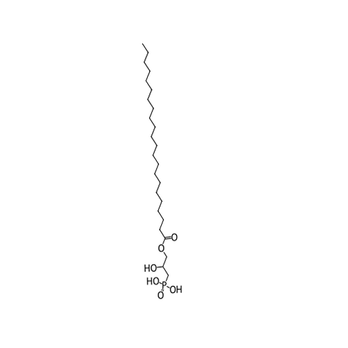 CCCCCCCCCCCCCCCCCCCCCC(=O)OCC(O)CP(=O)(O)O